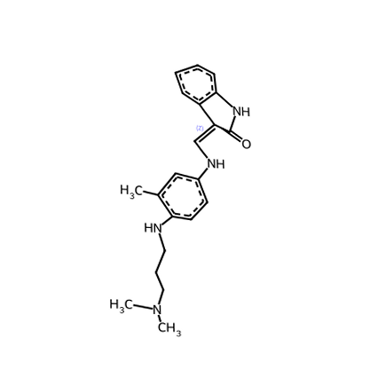 Cc1cc(N/C=C2\C(=O)Nc3ccccc32)ccc1NCCCN(C)C